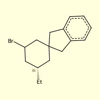 CC[C@@H]1CC(Br)CC2(Cc3ccccc3C2)C1